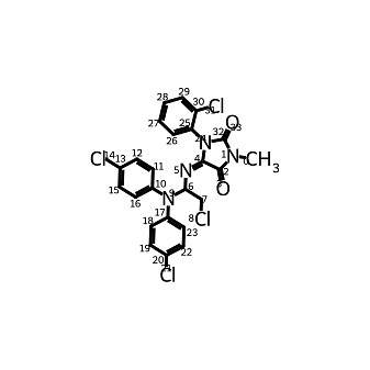 CN1C(=O)C(=NC(CCl)N(c2ccc(Cl)cc2)c2ccc(Cl)cc2)N(c2ccccc2Cl)C1=O